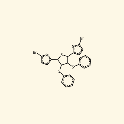 Brc1ccc(C2SC(c3ccc(Br)s3)C(Sc3ccccc3)C2Sc2ccccc2)s1